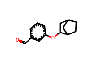 O=Cc1cccc(OC2CC3CCC2C3)c1